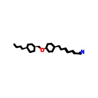 CCCC[C@H]1CC[C@H](CO[C@H]2CC[C@H](CCC=CC=CC#N)CC2)CC1